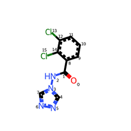 O=C(Nn1cnnc1)c1cccc(Cl)c1Cl